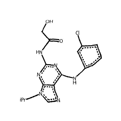 CC(C)n1cnc2c(Nc3cccc(Cl)c3)nc(NC(=O)CO)nc21